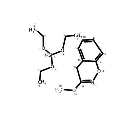 CCO[SiH](OCC)OCC.COC1=NOc2ccccc2C1